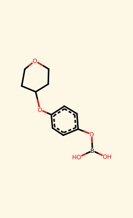 OB(O)Oc1ccc(OC2CCOCC2)cc1